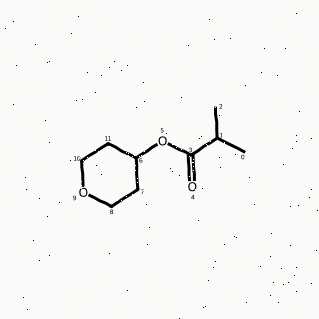 CC(C)C(=O)OC1CCOCC1